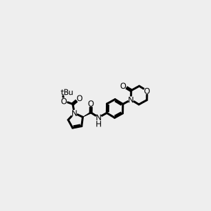 CC(C)(C)OC(=O)N1CC=C[C@@H]1C(=O)Nc1ccc(N2CCOCC2=O)cc1